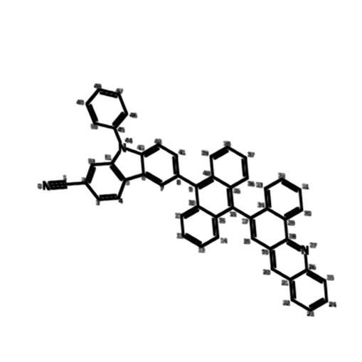 N#Cc1ccc2c3cc(-c4c5ccccc5c(-c5cc6cc7ccccc7nc6c6ccccc56)c5ccccc45)ccc3n(-c3ccccc3)c2c1